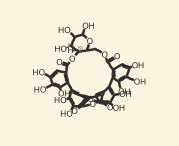 O=C1OCC2OC(O)C(O)[C@@H](O)[C@@H]2OC(=O)c2cc(O)c(O)c(O)c2-c2c(O)c(O)c3oc(=O)c4c(c(O)c(O)c5oc(=O)c2c3c54)-c2c1cc(O)c(O)c2O